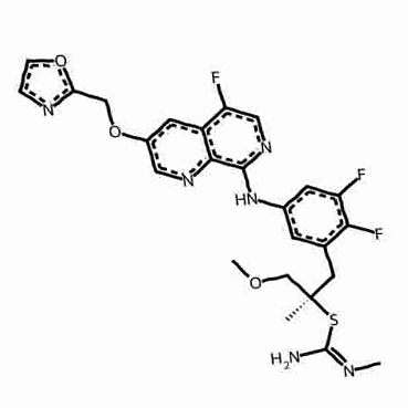 C/N=C(/N)S[C@@](C)(COC)Cc1cc(Nc2ncc(F)c3cc(OCc4ncco4)cnc23)cc(F)c1F